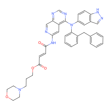 O=C(C=CC(=O)OCCCN1CCOCC1)Nc1cc2c(N(c3ccc4[nH]ncc4c3)c3ccccc3Cc3ccccc3)ncnc2cn1